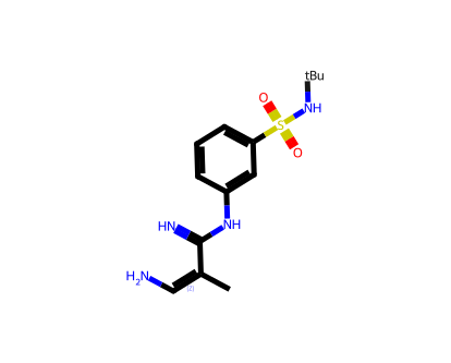 C/C(=C/N)C(=N)Nc1cccc(S(=O)(=O)NC(C)(C)C)c1